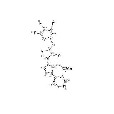 COCc1c(N2CCC(Cc3cc(F)c(F)c(F)c3)C2=O)cnn1-c1ccnnc1